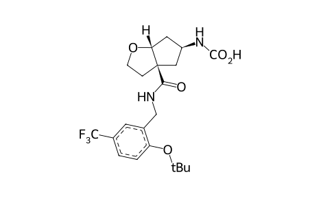 CC(C)(C)Oc1ccc(C(F)(F)F)cc1CNC(=O)[C@@]12CCO[C@@H]1C[C@@H](NC(=O)O)C2